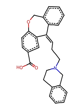 O=C(O)c1ccc2c(c1)/C(=C\CCN1CCc3ccccc3C1)c1ccccc1CO2